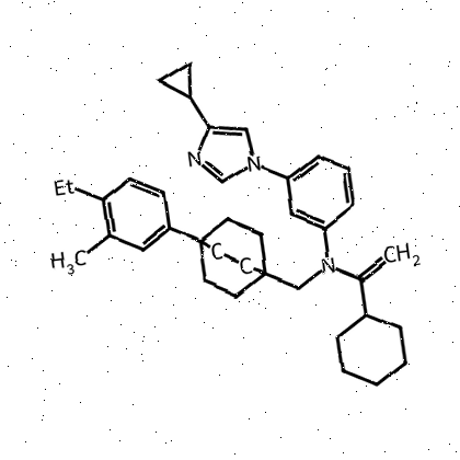 C=C(C1CCCCC1)N(CC12CCC(c3ccc(CC)c(C)c3)(CC1)CC2)c1cccc(-n2cnc(C3CC3)c2)c1